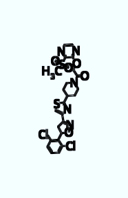 CS(=O)(=O)c1nccnc1OCC(=O)N1CCC(c2nc(C3=NOC(c4c(Cl)cccc4Cl)C3)cs2)CC1